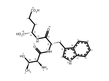 C[C@@H](O)[C@H](N)C(=O)N[C@@H](Cc1c[nH]c2ccccc12)C(=O)N[C@@H](CCC(=O)O)C(=O)O